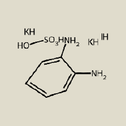 I.Nc1ccccc1N.O=S(=O)(O)O.[KH].[KH]